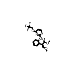 COC=C(C(=O)OC)c1ccccc1Oc1nccc(OCC(F)(F)F)n1